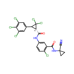 N#CC1(NC(=O)c2cc(NC(=O)[C@@H]3C(c4cc(Cl)c(Cl)c(Cl)c4)C3(Cl)Cl)ccc2Cl)CC1